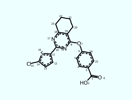 O=C(O)c1ccc(Oc2nc(-c3ccc(Cl)s3)nc3c2CCCC3)cc1